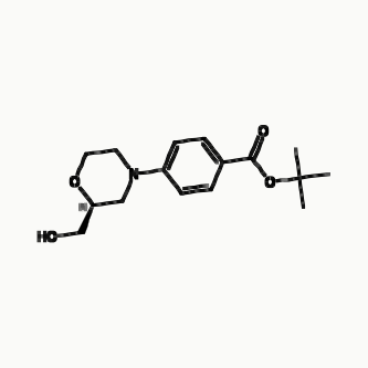 CC(C)(C)OC(=O)c1ccc(N2CCO[C@H](CO)C2)cc1